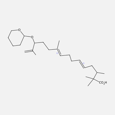 C=C(C)C(CC/C(C)=C/CC/C=C/CC(C)C(C)(C)C(=O)O)OC1CCCCO1